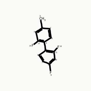 Cc1ccc(-c2ccc(F)cc2F)c(F)c1